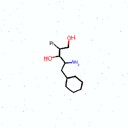 CC(C)C(CO)C(O)C(N)CC1CCCCC1